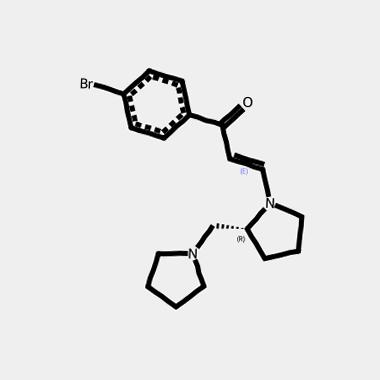 O=C(/C=C/N1CCC[C@@H]1CN1CCCC1)c1ccc(Br)cc1